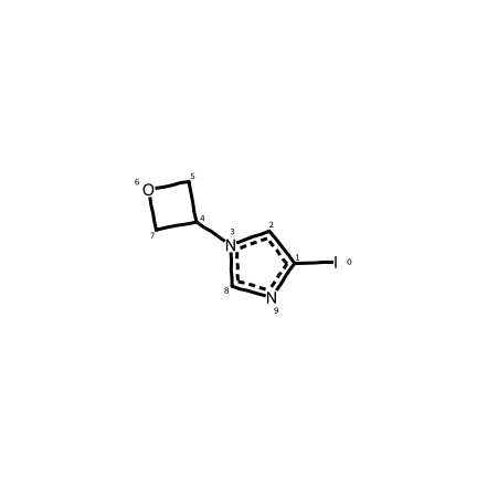 Ic1cn(C2COC2)cn1